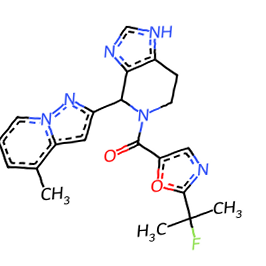 Cc1cccn2nc(C3c4nc[nH]c4CCN3C(=O)c3cnc(C(C)(C)F)o3)cc12